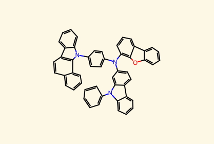 c1ccc(-n2c3ccccc3c3ccc(N(c4ccc(-n5c6ccccc6c6ccc7ccccc7c65)cc4)c4cccc5c4oc4ccccc45)cc32)cc1